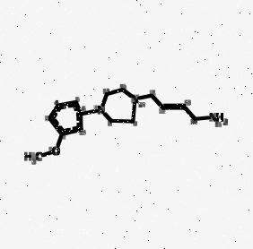 COc1cccc(N2CCN(C/C=C/CN)CC2)c1